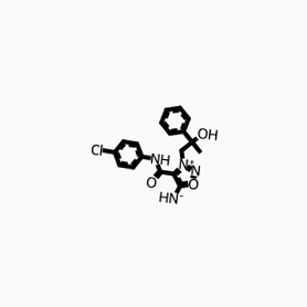 CC(O)(C[n+]1noc([NH-])c1C(=O)Nc1ccc(Cl)cc1)c1ccccc1